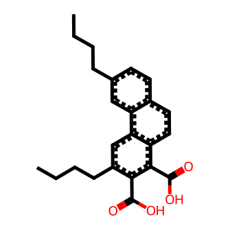 CCCCc1ccc2ccc3c(C(=O)O)c(C(=O)O)c(CCCC)cc3c2c1